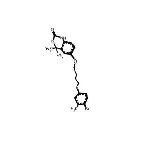 Cc1cc(SCCCCOc2ccc3c(c2)C(C)(C)OC(=O)N3)ccc1Br